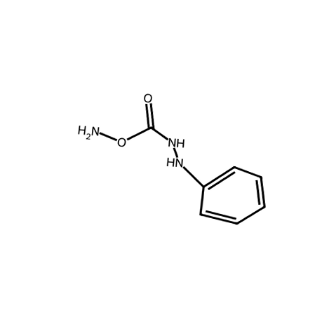 NOC(=O)NNc1ccccc1